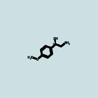 COc1ccc([C@@H](O)CN)cc1